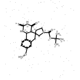 COc1ccc2c(c1)CC1(CCN(C(=O)OC(C)(C)C)C1)C1C(=O)NC(=S)NC21